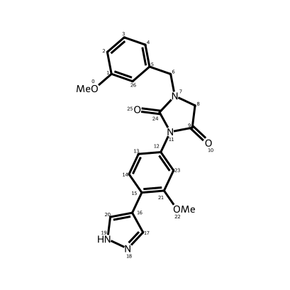 COc1cccc(CN2CC(=O)N(c3ccc(-c4cn[nH]c4)c(OC)c3)C2=O)c1